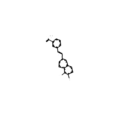 COC(=O)c1cccc(/C=C/c2ccc3c(Br)c(I)ccc3c2)c1